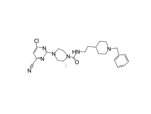 C[C@@H]1CN(c2nc(Cl)cc(C#N)n2)CCN1C(=O)NCCC1CCN(Cc2ccccc2)CC1